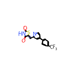 O=C1NC(=O)/C(=C/c2cc(-c3ccc(C(F)(F)F)cc3)ccn2)S1